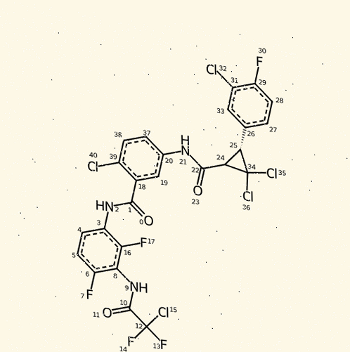 O=C(Nc1ccc(F)c(NC(=O)C(F)(F)Cl)c1F)c1cc(NC(=O)C2[C@H](c3ccc(F)c(Cl)c3)C2(Cl)Cl)ccc1Cl